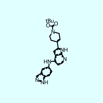 CC(C)(C)OC(=O)N1CC=C(c2cc3c(Nc4ccc5[nH]ncc5c4)ccnc3[nH]2)CC1